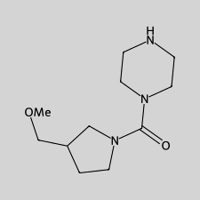 COCC1CCN(C(=O)N2CCNCC2)C1